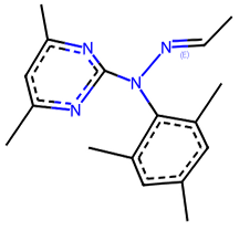 C/C=N/N(c1nc(C)cc(C)n1)c1c(C)cc(C)cc1C